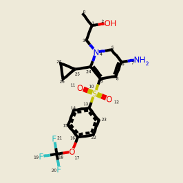 CC(O)CN1CC(N)=CC(S(=O)(=O)c2ccc(OC(F)(F)F)cc2)=C1C1CC1